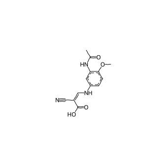 COc1ccc(NC=C(C#N)C(=O)O)cc1NC(C)=O